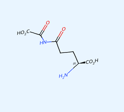 N[C@@H](CCC(=O)NC(=O)C(=O)O)C(=O)O